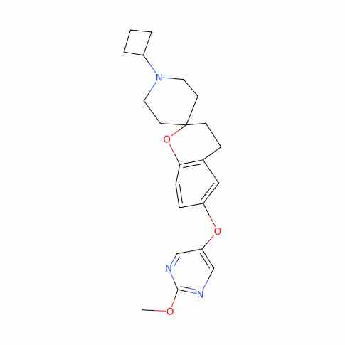 COc1ncc(Oc2ccc3c(c2)CCC2(CCN(C4CCC4)CC2)O3)cn1